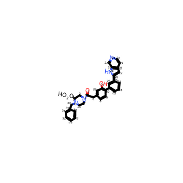 O=C(O)C1CN(C(=O)Cc2ccc(-c3cccc(-c4cc5ccncc5[nH]4)c3)c(O)c2)CCN1Cc1ccccc1